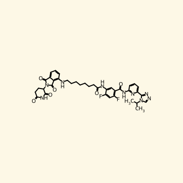 CC(C)n1cnnc1-c1cccc(NC(=O)c2cc(NC(=O)CCCCCCCNc3cccc4c3C(=O)N(C3CCC(=O)NC3=O)C4=O)c(F)cc2F)n1